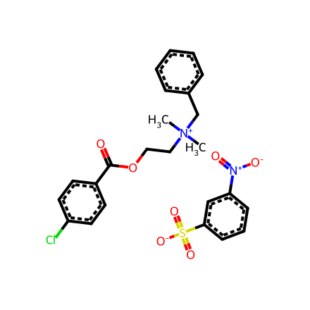 C[N+](C)(CCOC(=O)c1ccc(Cl)cc1)Cc1ccccc1.O=[N+]([O-])c1cccc(S(=O)(=O)[O-])c1